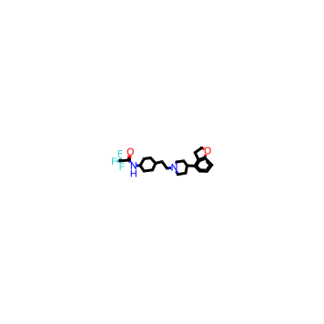 O=C(NC1CCC(CCN2CCC(c3cccc4c3CCO4)CC2)CC1)C(F)(F)F